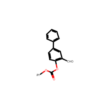 CC(C)OC(=O)Oc1ccc(-c2ccccc2)cc1C=O